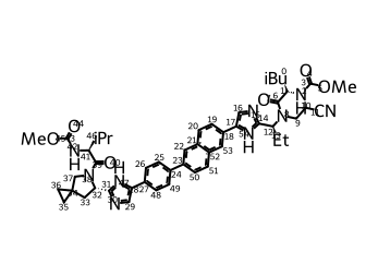 CC[C@H](C)[C@H](NC(=O)OC)C(=O)N(CCC#N)[C@@H](CC)c1ncc(-c2ccc3cc(-c4ccc(-c5cnc([C@@H]6CC7(CC7)CN6C(=O)[C@@H](NC(=O)OC)C(C)C)[nH]5)cc4)ccc3c2)[nH]1